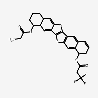 CCC(=O)OC1CCCC2C=c3sc4c(sc5cc6c(cc54)C=CCC6OC(=O)CC(F)(F)F)c3=CC21